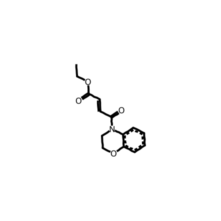 CCOC(=O)/C=C/C(=O)N1CCOc2ccccc21